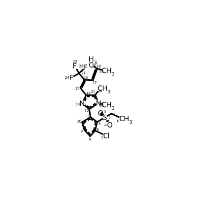 CCS(=O)(=O)c1c(Cl)cccc1-c1nc(/C=C(\C=C(C)C)C(F)(F)F)c(C)n1C